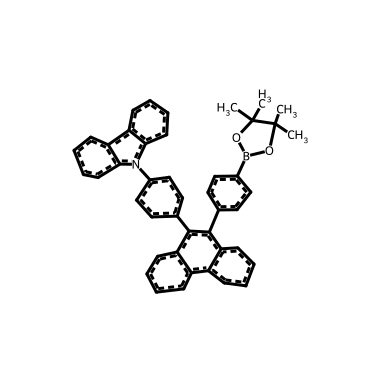 CC1(C)OB(c2ccc(-c3c(-c4ccc(-n5c6ccccc6c6ccccc65)cc4)c4ccccc4c4ccccc34)cc2)OC1(C)C